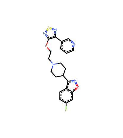 Fc1ccc2c(C3CCN(CCOc4nsnc4-c4cccnc4)CC3)noc2c1